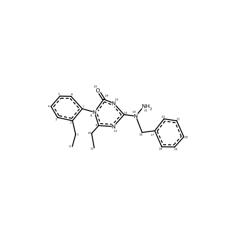 CCc1ccccc1-n1c(CC)nc(N(N)Cc2ccccc2)nc1=O